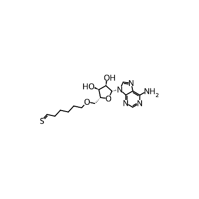 Nc1ncnc2c1ncn2[C@@H]1O[C@H](COCCCCCC=S)[C@@H](O)[C@H]1O